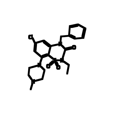 CCN1C(=O)N(Cc2ccccc2)c2cc(Cl)cc(N3CCN(C)CC3)c2S1(=O)=O